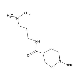 CN(C)CCCNC(=O)C1CCN(C(C)(C)C)CC1